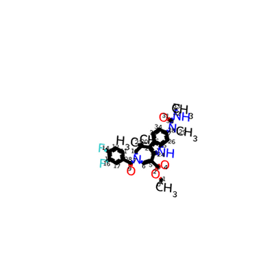 CCOC(=O)C1=CN(C(=O)c2ccc(F)c(F)c2)CC(C)(C)c2c1[nH]c1cc(N(C)C(=O)NC)ccc21